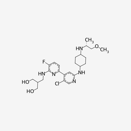 COC[C@@H](C)NC1CCC(Nc2cc(-c3ccc(F)c(NCC(CO)CO)n3)c(Cl)cn2)CC1